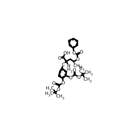 C[C@@H](CC(N)(Cc1ccc(OC(=O)OC(C)(C)C)c(OC(=O)OC(C)(C)C)c1)C(=O)O)OC(=O)Oc1ccccc1